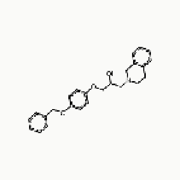 OC(COc1ccc(OCc2ccccc2)cc1)CN1CCc2ccccc2C1